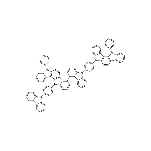 c1ccc(-n2c3ccccc3c3c2ccc2c4c(-c5cccc6c5c5ccccc5n6-c5ccc(-n6c7ccccc7c7c6ccc6c8ccccc8n(-c8ccccc8)c67)cc5)cccc4n(-c4ccc(-n5c6ccccc6c6ccccc65)cc4)c23)cc1